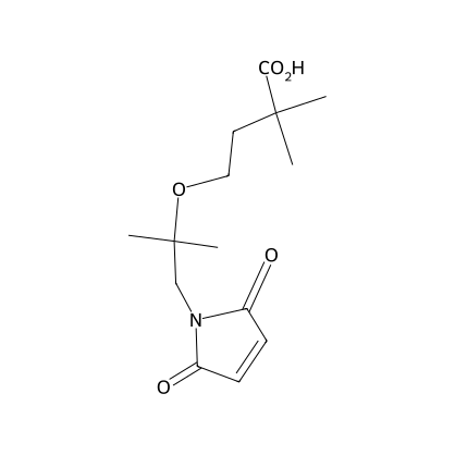 CC(C)(CN1C(=O)C=CC1=O)OCCC(C)(C)C(=O)O